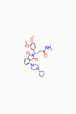 COc1ccc(C(CCC(N)=O)N2C(=O)c3cccc(N4CCN(C5CCCC5)CC4)c3C2=O)cc1OC